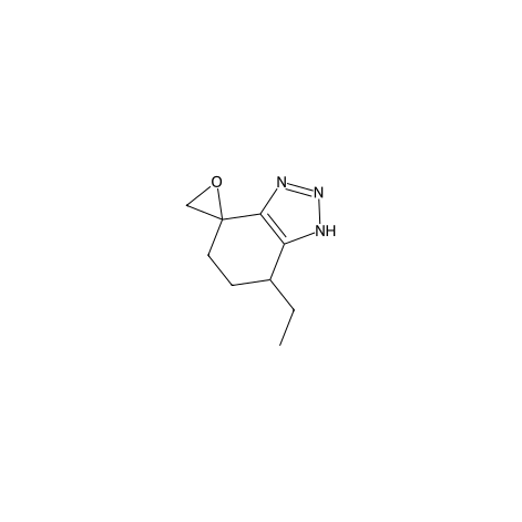 CCC1CCC2(CO2)c2nn[nH]c21